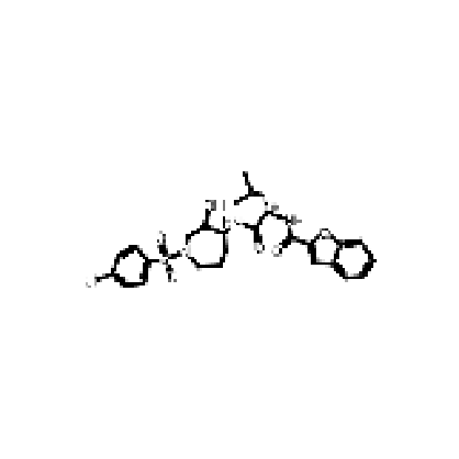 CC(C)C[C@H](NC(=O)c1cc2ccccc2o1)C(=O)NC1CCCN(S(=O)(=O)c2ccc(Cl)cc2)CC1O